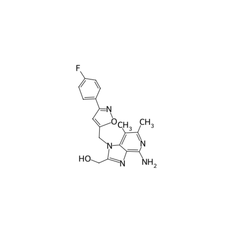 Cc1nc(N)c2nc(CO)n(Cc3cc(-c4ccc(F)cc4)no3)c2c1C